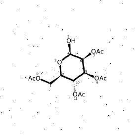 CC(=O)OC[C@H]1O[C@@H](O)[C@@H](OC(C)=O)[C@@H](OC(C)=O)[C@@H]1OC(C)=O